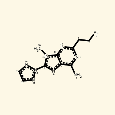 CC(=O)CCc1nc(N)c2nc(-n3nccn3)n(C)c2n1